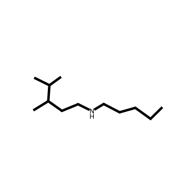 CCCCCNCCC(C)C(C)C